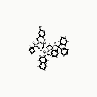 O=C(NN(Cc1cc(F)ccc1F)S(=O)(=O)c1cccs1)[C@@H]1C[C@@H](SC(c2ccccc2)(c2ccccc2)c2ccccc2)CN1S(=O)(=O)c1ccc2ccccc2c1